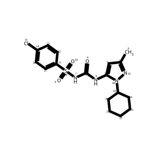 Cc1cc(NC(=O)NS(=O)(=O)c2ccc(Cl)cc2)n(C2CCCCC2)n1